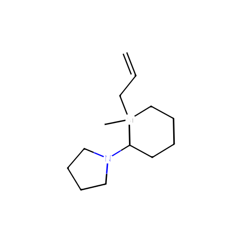 C=CC[Si]1(C)CCCCC1N1CCCC1